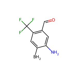 Bc1cc(C(F)(F)F)c(C=O)cc1N